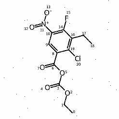 CCOC(=O)OC(=O)c1cc([N+](=O)[O-])c(F)c(CC)c1Cl